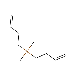 C=CCCS(C)(C)CCC=C